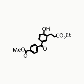 CCOC(=O)CCc1cc(C(=O)c2ccc(C(=O)OC)cc2)ccc1O